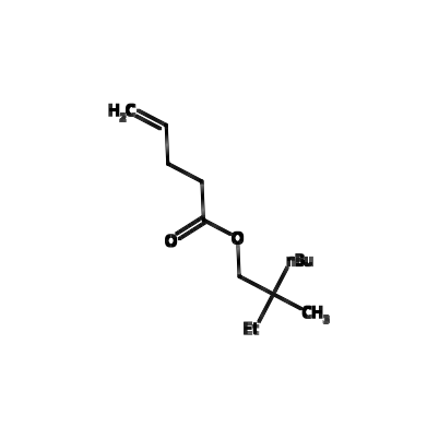 C=CCCC(=O)OCC(C)(CC)CCCC